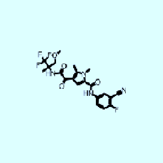 COCC(C)(NC(=O)C(=O)c1cc(C(=O)Nc2ccc(F)c(C#N)c2)n(C)c1C)C(F)(F)F